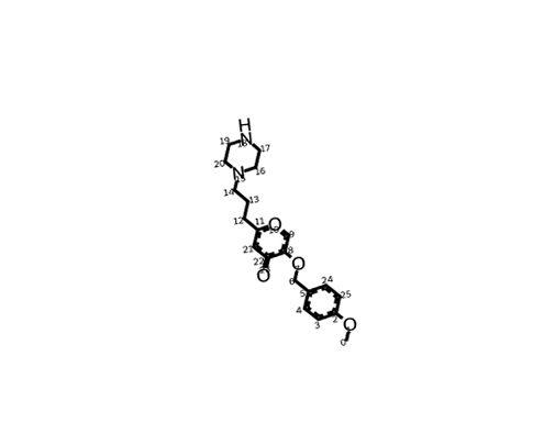 COc1ccc(COc2coc(CCCN3CCNCC3)cc2=O)cc1